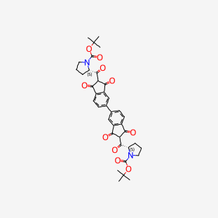 CC(C)(C)OC(=O)N1CCC[C@H]1C(=O)C1C(=O)c2ccc(-c3ccc4c(c3)C(=O)C(C(=O)[C@@H]3CCCN3C(=O)OC(C)(C)C)C4=O)cc2C1=O